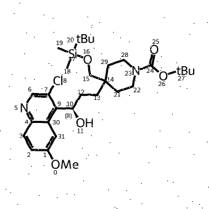 COc1ccc2ncc(Cl)c([C@H](O)CCC3(CO[Si](C)(C)C(C)(C)C)CCN(C(=O)OC(C)(C)C)CC3)c2c1